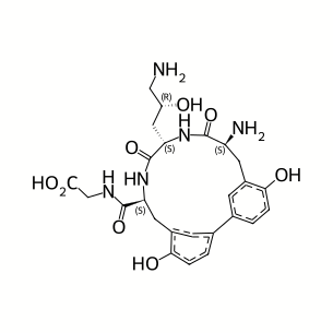 NC[C@H](O)C[C@@H]1NC(=O)[C@@H](N)Cc2cc(ccc2O)-c2ccc(O)c(c2)C[C@@H](C(=O)NCC(=O)O)NC1=O